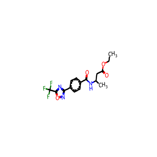 CCOC(=O)CC(C)NC(=O)c1ccc(-c2noc(C(F)(F)F)n2)cc1